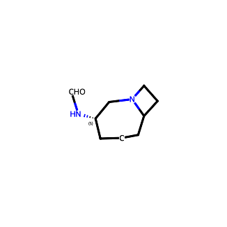 O=CN[C@H]1CCCC2CCN2C1